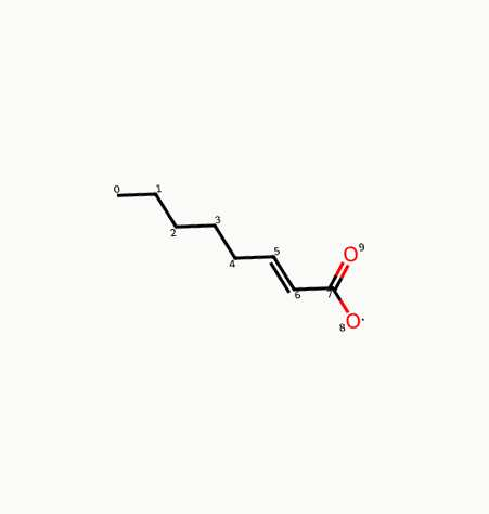 CCCCCC=CC([O])=O